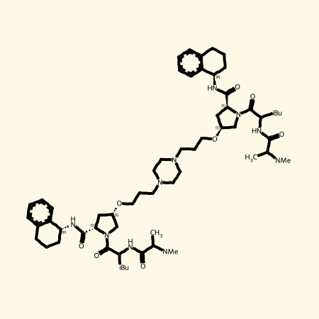 CCC(C)C(NC(=O)C(C)NC)C(=O)N1C[C@@H](OCCCN2CCN(CCCO[C@H]3C[C@@H](C(=O)N[C@@H]4CCCc5ccccc54)N(C(=O)C(NC(=O)C(C)NC)C(C)CC)C3)CC2)C[C@H]1C(=O)N[C@@H]1CCCc2ccccc21